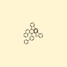 c1ccc(-c2cccc(N(c3c(-n4c5ccccc5c5ccccc54)ccc4ccccc34)c3cccc4c3oc3ccccc34)c2)cc1